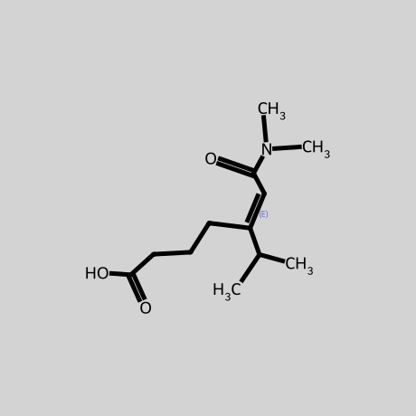 CC(C)/C(=C/C(=O)N(C)C)CCCC(=O)O